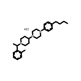 CCCCc1ccc(N2CCN(C3CCN(C(C)c4ccccc4I)CC3)CC2)cc1.Cl